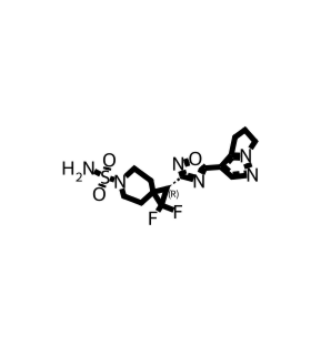 NS(=O)(=O)N1CCC2(CC1)[C@H](c1noc(-c3cnn4c3CCC4)n1)C2(F)F